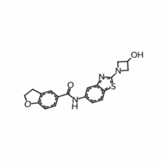 O=C(Nc1ccc2sc(N3CC(O)C3)nc2c1)c1ccc2c(c1)CCO2